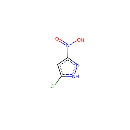 O=[N+](O)c1cc(Cl)[nH]n1